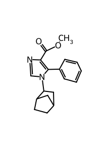 COC(=O)c1ncn(C2CC3CCC2C3)c1-c1ccccc1